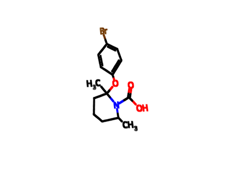 CC1CCCC(C)(Oc2ccc(Br)cc2)N1C(=O)O